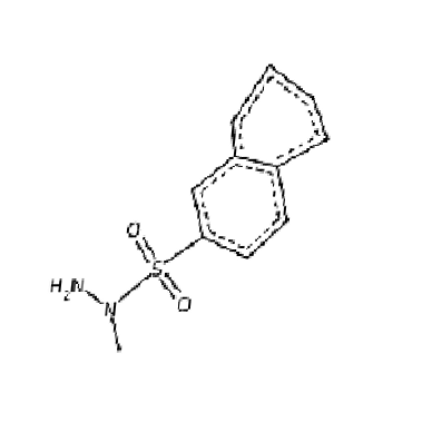 CN(N)S(=O)(=O)c1ccc2ccccc2c1